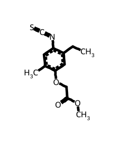 CCc1cc(OCC(=O)OC)c(C)cc1N=C=S